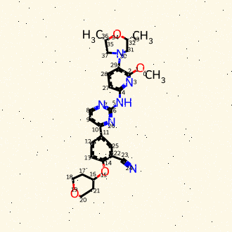 COc1nc(Nc2nccc(-c3ccc(OC4CCOCC4)c(C#N)c3)n2)ccc1N1C[C@@H](C)O[C@@H](C)C1